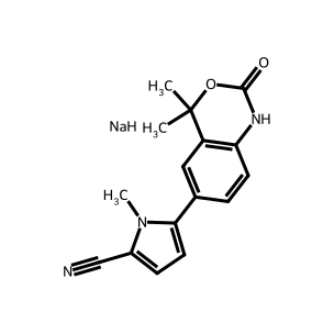 Cn1c(C#N)ccc1-c1ccc2c(c1)C(C)(C)OC(=O)N2.[NaH]